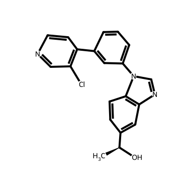 C[C@H](O)c1ccc2c(c1)ncn2-c1cccc(-c2ccncc2Cl)c1